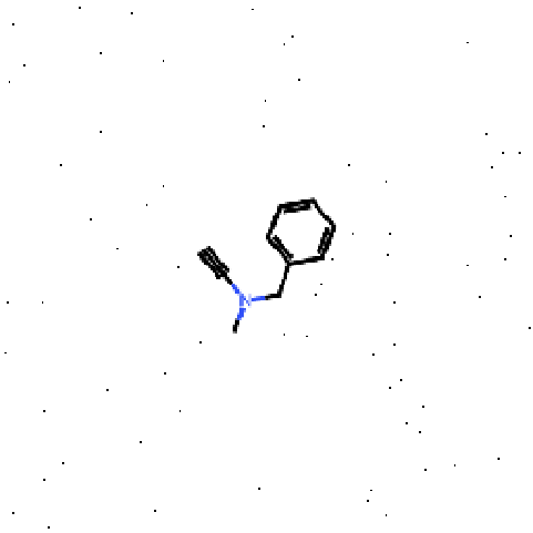 C#CN(C)Cc1ccccc1